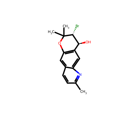 Cc1ccc2cc3c(cc2n1)[C@H](O)[C@@H](Br)C(C)(C)O3